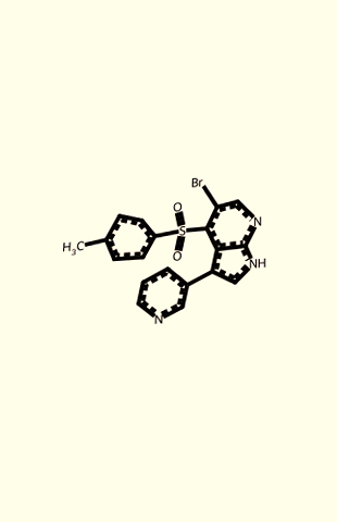 Cc1ccc(S(=O)(=O)c2c(Br)cnc3[nH]cc(-c4cccnc4)c23)cc1